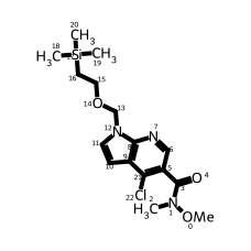 CON(C)C(=O)c1cnc2c(ccn2COCC[Si](C)(C)C)c1Cl